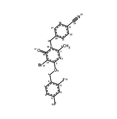 Cc1nc(OCc2ccc(F)cc2F)c(Br)c(=O)n1Cc1ccc(C#N)cc1